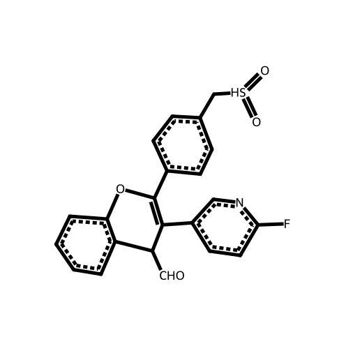 O=CC1C(c2ccc(F)nc2)=C(c2ccc(C[SH](=O)=O)cc2)Oc2ccccc21